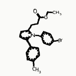 CCOC(=O)CCc1ccc(-c2ccc(C)cc2)n1-c1ccc(Br)cc1